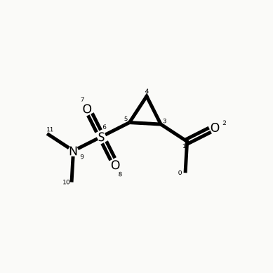 CC(=O)C1CC1S(=O)(=O)N(C)C